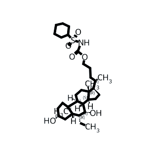 CC[C@H]1[C@@H](O)[C@@H]2[C@H](CC[C@]3(C)[C@@H]([C@H](C)CCCOC(=O)NS(=O)(=O)C4CCCCC4)CC[C@@H]23)[C@@]2(C)CC[C@@H](O)C[C@@H]12